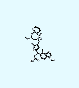 CC[C@@H]1CN(Cc2cc([C@H](CC(=O)O)c3ccc4c(nnn4CC)c3C)sc2C)S(=O)(=O)c2cccnc2O1